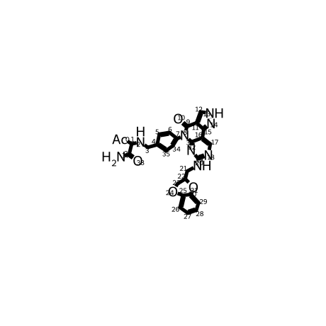 CC(=O)C(NCc1ccc(-n2c(=O)c3c[nH]nc3c3cnc(NCC4COc5ccccc5O4)nc32)cc1)C(N)=O